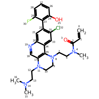 C=CC(=O)N(C)CCN1CCN(CCN(C)C)c2cnc3cc(-c4c(O)cccc4F)c(Cl)cc3c21